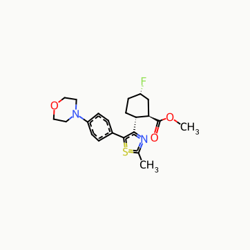 COC(=O)[C@@H]1C[C@@H](F)CC[C@H]1c1nc(C)sc1-c1ccc(N2CCOCC2)cc1